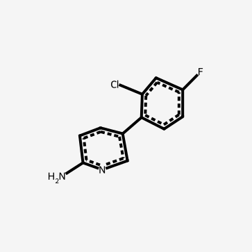 Nc1ccc(-c2ccc(F)cc2Cl)cn1